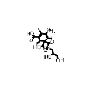 NC1=C(I)C(C(=O)O)(C(=O)NCC(O)CO)C(I)C(C(=O)O)=C1I